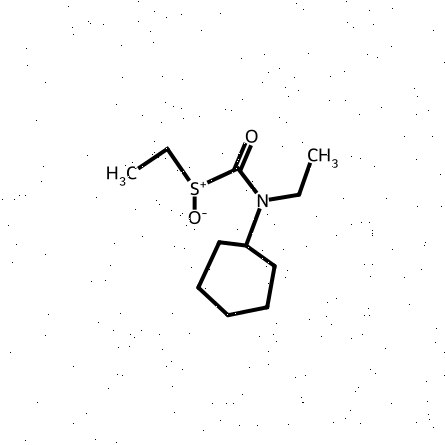 CCN(C(=O)[S+]([O-])CC)C1CCCCC1